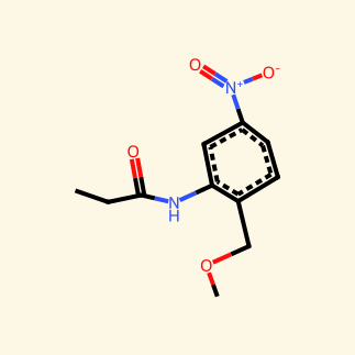 CCC(=O)Nc1cc([N+](=O)[O-])ccc1COC